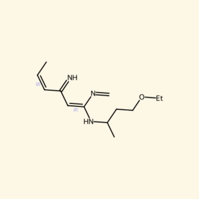 C=N/C(=C\C(=N)/C=C\C)NC(C)CCOCC